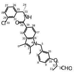 Cc1c(C)n(Cc2cccc(O[C@@H](C)C=O)c2)c2ccc(C(=O)N[C@@H](C)c3cccc(Cl)c3)cc12